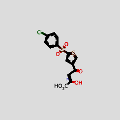 O=C(O)/C(O)=C/C(=O)c1csc(S(=O)(=O)c2ccc(Cl)cc2)c1